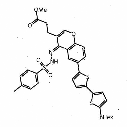 CCCCCCc1ccc(-c2ccc(-c3ccc4occ(CCC(=O)OC)/c(=N/NS(=O)(=O)c5ccc(C)cc5)c4c3)s2)s1